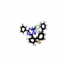 Clc1nc(-c2ccccc2)nc(-c2cccc3sc4ccc(-c5ccccc5)cc4c23)n1